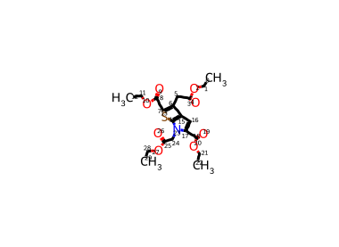 CCOC(=O)Cc1c(C(=O)OCC)sc2c1cc(C(=O)OCC)n2CC(=O)OCC